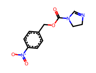 O=C(OCc1ccc([N+](=O)[O-])cc1)N1[C]=NCC1